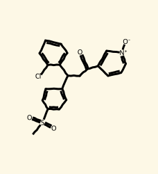 CS(=O)(=O)c1ccc(C(CC(=O)c2ccc[n+]([O-])c2)c2ccccc2Cl)cc1